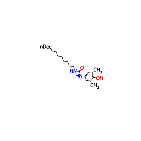 CCCCCCCCCCCCCCCCCCNC(=O)Nc1cc(C)c(O)c(C)c1